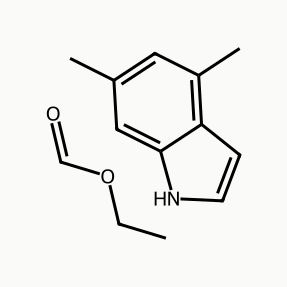 CCOC=O.Cc1cc(C)c2cc[nH]c2c1